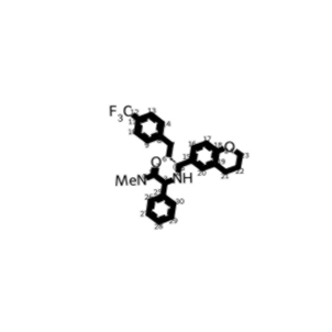 CNC(=O)C(N[C@H](CCc1ccc(C(F)(F)F)cc1)c1ccc2c(c1)CCCO2)c1ccccc1